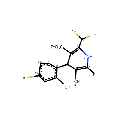 CCOC(=O)C1=C(C(F)F)NC(C)=C(C#N)C1c1ccc(F)cc1C(F)(F)F